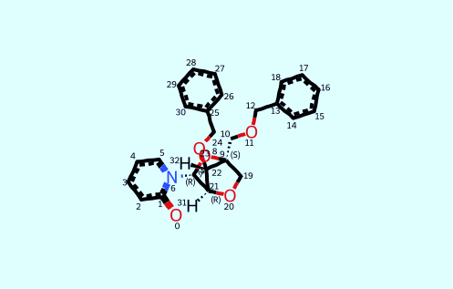 O=c1ccccn1[C@@H]1O[C@@]2(COCc3ccccc3)CO[C@@H]1[C@@H]2OCc1ccccc1